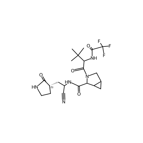 CC(C)(C)C(NC(=O)C(F)(F)F)C(=O)N1CC2CC2C1C(=O)NC(C#N)C[C@@H]1CCNC1=O